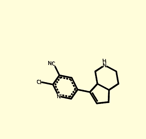 N#Cc1cc(C2=CCC3CCNCC23)cnc1Cl